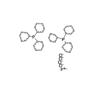 [Cl-].[Cl-].[Cl-].[Cl-].[Ir+4].c1ccc(P(c2ccccc2)c2ccccc2)cc1.c1ccc(P(c2ccccc2)c2ccccc2)cc1